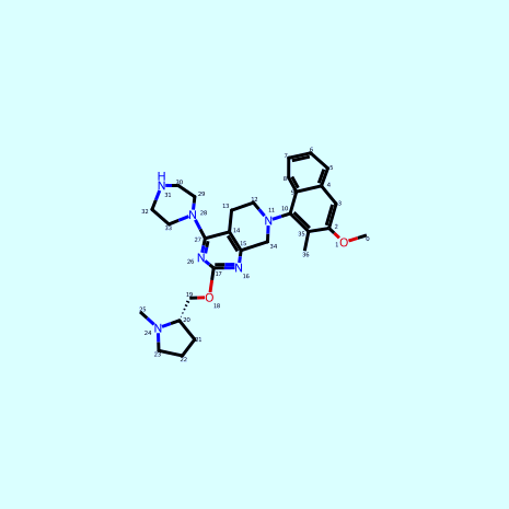 COc1cc2ccccc2c(N2CCc3c(nc(OC[C@@H]4CCCN4C)nc3N3CCNCC3)C2)c1C